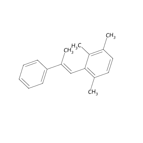 CC(=Cc1c(C)ccc(C)c1C)c1ccccc1